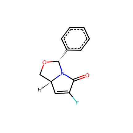 O=C1C(F)=C[C@H]2CO[C@H](c3ccccc3)N12